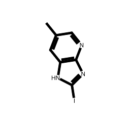 Cc1cnc2nc(I)[nH]c2c1